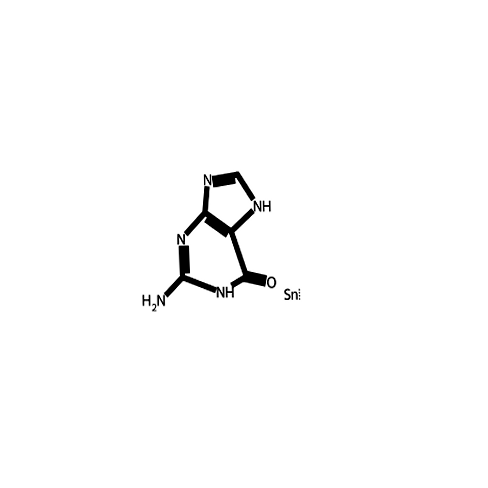 Nc1nc2nc[nH]c2c(=O)[nH]1.[Sn]